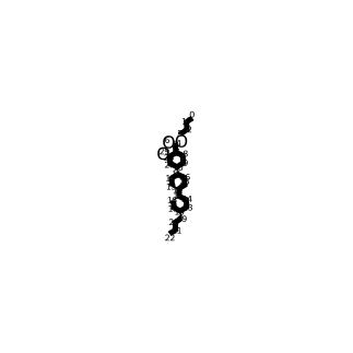 CCCCOC(=O)C1CCC([C@H]2CC[C@H]([C@H]3CC[C@H](CCCC)CC3)CC2)CC1=O